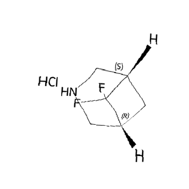 Cl.FC1(F)[C@@H]2CNC[C@H]1C2